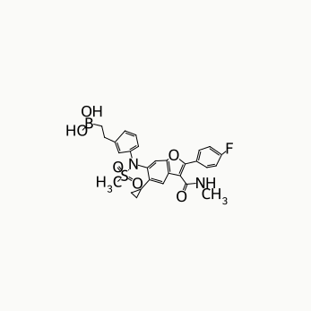 CNC(=O)c1c(-c2ccc(F)cc2)oc2cc(N(c3cccc(CCB(O)O)c3)S(C)(=O)=O)c(C3CC3)cc12